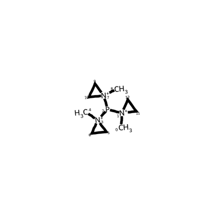 C[N+]1(P([N+]2(C)CC2)[N+]2(C)CC2)CC1